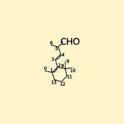 CC1=C(C=CC(C)C=O)C(C)(C)CCC1